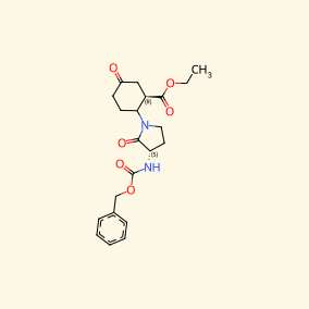 CCOC(=O)[C@@H]1CC(=O)CCC1N1CC[C@H](NC(=O)OCc2ccccc2)C1=O